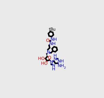 CC(C)(C)C1CCC(NC(=O)NCCCN(CC2CCCCC2)C[C@H]2O[C@@H](N3CNC4C(N)NCNC43)C(O)[C@@H]2O)CC1